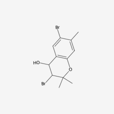 Cc1cc2c(cc1Br)C(O)C(Br)C(C)(C)O2